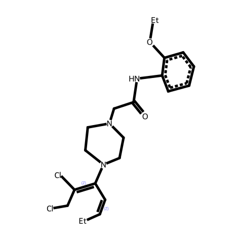 CC/C=C\C(=C(\Cl)CCl)N1CCN(CC(=O)Nc2ccccc2OCC)CC1